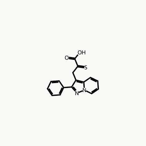 O=C(O)C(=S)Cc1c(-c2ccccc2)nn2ccccc12